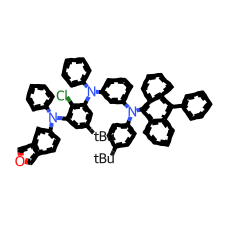 CC(C)(C)c1ccc(N(c2cccc(N(c3ccccc3)c3cc(C(C)(C)C)cc(N(c4ccccc4)c4ccc5cocc5c4)c3Cl)c2)c2c3ccccc3c(-c3ccccc3)c3ccccc23)cc1